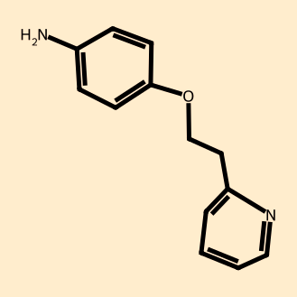 Nc1ccc(OCCc2ccccn2)cc1